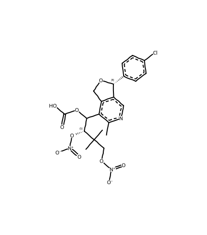 Cc1ncc2c(c1C(OC(=O)O)[C@@H](O[N+](=O)[O-])C(C)(C)CO[N+](=O)[O-])CO[C@@H]2c1ccc(Cl)cc1